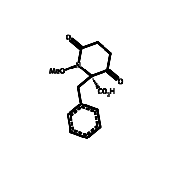 CON1C(=O)CCC(=O)[C@]1(Cc1ccccc1)C(=O)O